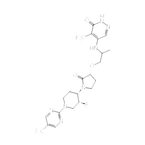 CC(CO[C@@H]1CCN([C@@H]2CCN(c3ncc(C(F)(F)F)cn3)C[C@@H]2F)C1=O)Nc1cn[nH]c(=O)c1C(F)(F)F